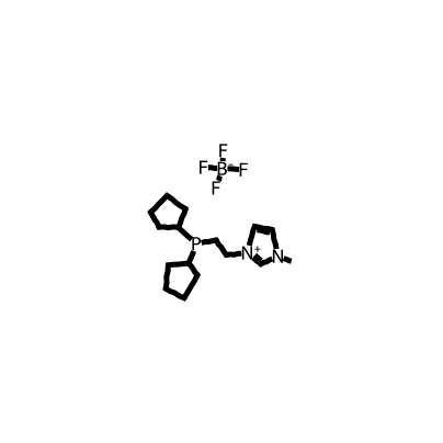 Cn1cc[n+](CCP(C2CCCC2)C2CCCC2)c1.F[B-](F)(F)F